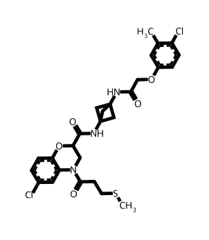 CSCCC(=O)N1CC(C(=O)NC23CC(NC(=O)COc4ccc(Cl)c(C)c4)(C2)C3)Oc2ccc(Cl)cc21